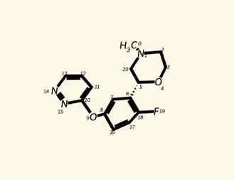 CN1CCO[C@H](c2cc(Oc3cccnn3)ccc2F)C1